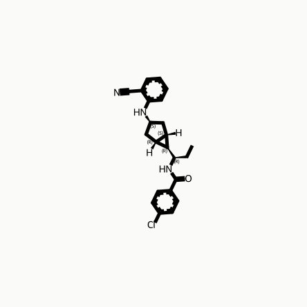 CC[C@@H](NC(=O)c1ccc(Cl)cc1)[C@H]1[C@@H]2C[C@@H](Nc3ccccc3C#N)C[C@@H]21